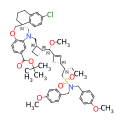 CC[C@H](CS(=O)(=O)N(Cc1ccc(OC)cc1)Cc1ccc(OC)cc1)[C@H]1C=C([C@@H](OC)[C@@H]2CC[C@H]2CN2C[C@@]3(CCCc4cc(Cl)ccc43)COc3ccc(C(=O)OC(C)(C)C)cc32)C1